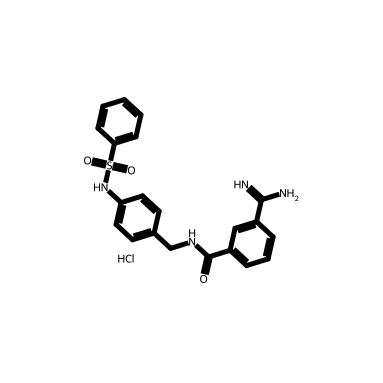 Cl.N=C(N)c1cccc(C(=O)NCc2ccc(NS(=O)(=O)c3ccccc3)cc2)c1